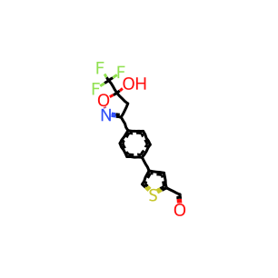 O=Cc1cc(-c2ccc(C3=NOC(O)(C(F)(F)F)C3)cc2)cs1